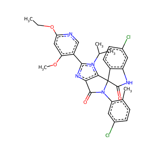 CCOc1cc(OC)c(-c2nc3c(n2C(C)C)C2(C(=O)Nc4cc(Cl)ccc42)N(c2cc(Cl)ccc2C)C3=O)cn1